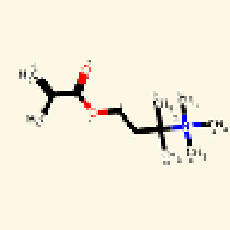 C=C(C)C(=O)OCCC(C)(C)[N+](C)(C)C